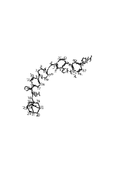 Cc1cc(CN2CCN(c3ccc(C(=O)NCC45CC6CC(CC(C6)C4)C5)cc3)CC2)ccc1-c1cccc(O)c1